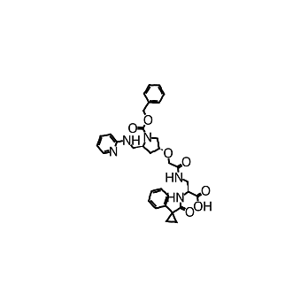 O=C(CO[C@@H]1C[C@@H](CNc2ccccn2)N(C(=O)OCc2ccccc2)C1)NC[C@H](NC(=O)C1(c2ccccc2)CC1)C(=O)O